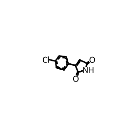 O=C1C=C(c2ccc(Cl)cc2)C(=O)N1